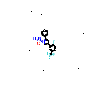 NC(=O)N1CC(c2cc(C(F)(F)F)ccc2F)C=C1c1ccccc1